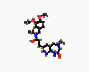 COc1ccc(CN(C)C(=O)C=Cc2cnc3c(c2)CN(C)CC(=O)N3)cc1OC